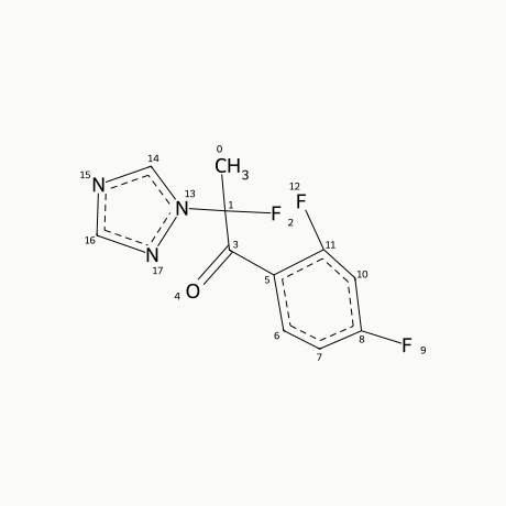 CC(F)(C(=O)c1ccc(F)cc1F)n1cncn1